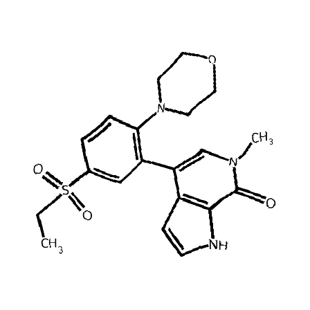 CCS(=O)(=O)c1ccc(N2CCOCC2)c(-c2cn(C)c(=O)c3[nH]ccc23)c1